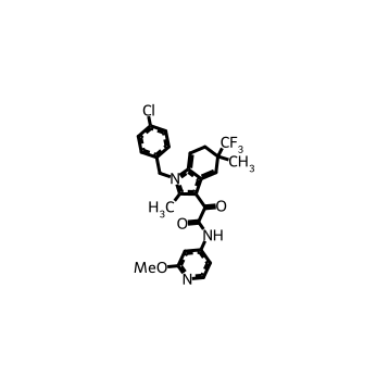 COc1cc(NC(=O)C(=O)c2c(C)n(Cc3ccc(Cl)cc3)c3c2=CC(C)(C(F)(F)F)CC=3)ccn1